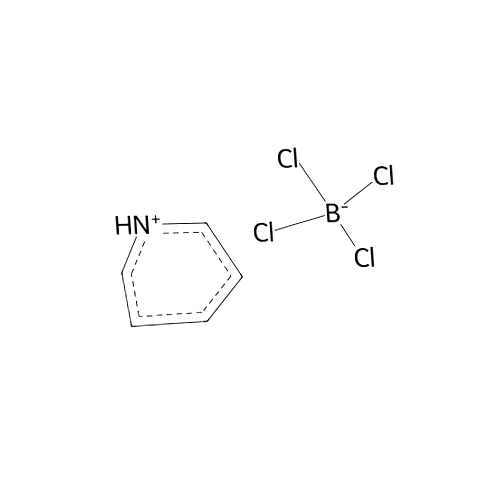 Cl[B-](Cl)(Cl)Cl.c1cc[nH+]cc1